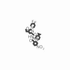 O=C(NNC(=O)c1ccc([N+](=O)[O-])cc1N1CCC2(CC1)CC2)c1cc2ccoc2c(N2CCC(F)(F)CC2)n1